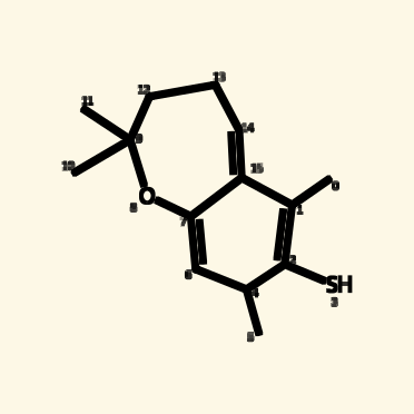 CC1=C(S)C(C)C=C2OC(C)(C)CCC=C21